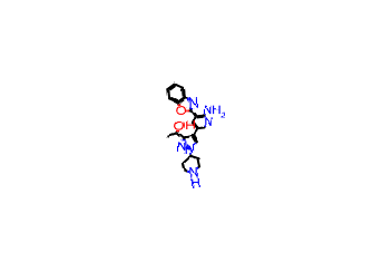 CC(O)c1nn(C2CCNCC2)cc1-c1cnc(N)c(-c2nc3ccccc3o2)c1